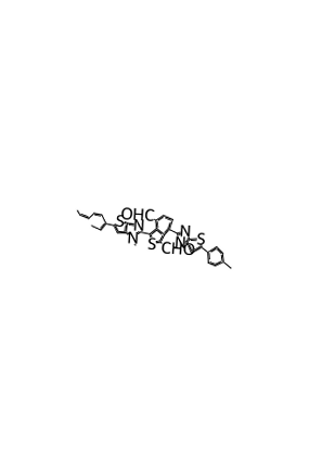 C\C=C/C=C\C(=C/C)c1cc2c(nc(-c3sc(C=O)c4c(-c5nc6sc(-c7ccc(C)cc7)cc6n5C)ccc(C=O)c34)n2C)s1